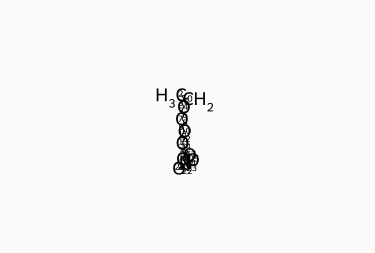 C=C(C)COCCOCCOCCOCCC(=O)ON1C(=O)CCC1=O